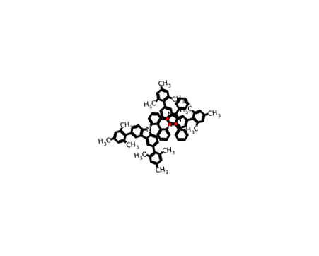 Cc1cc(C)c(-c2ccc3c(c2)c2cc(-c4c(C)cc(C)cc4C)ccc2n3-c2ccccc2-c2c(-c3cc(-c4ccccc4)nc(-c4ccccc4)n3)cccc2-n2c3ccc(-c4c(C)cc(C)cc4C)cc3c3cc(-c4c(C)cc(C)cc4C)ccc32)c(C)c1